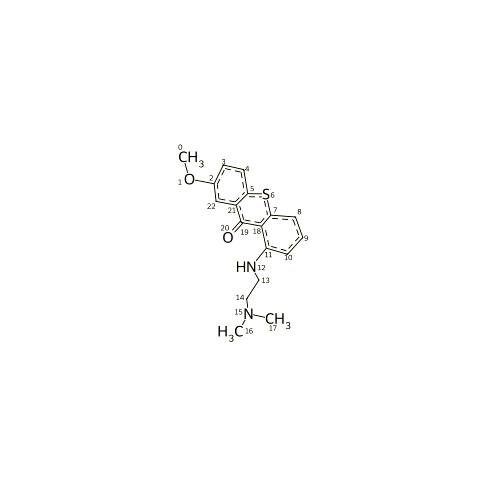 COc1ccc2sc3cccc(NCCN(C)C)c3c(=O)c2c1